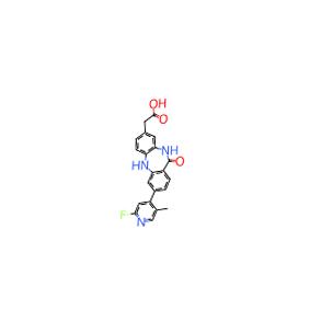 Cc1cnc(F)cc1-c1ccc2c(c1)Nc1ccc(CC(=O)O)cc1NC2=O